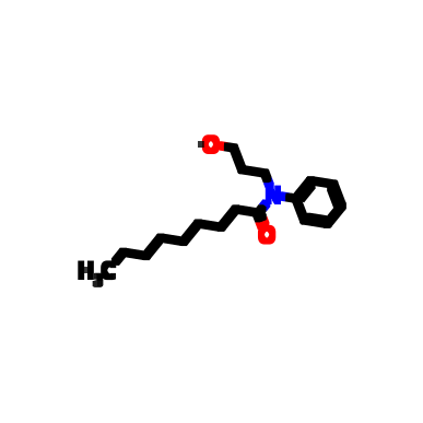 CCCCCCCCC(=O)N(CCC[O])c1ccccc1